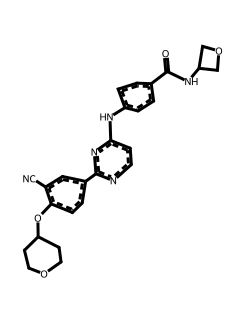 N#Cc1cc(-c2nccc(Nc3ccc(C(=O)NC4COC4)cc3)n2)ccc1OC1CCOCC1